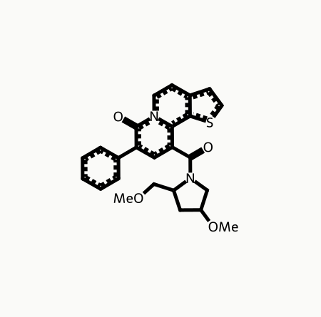 COCC1CC(OC)CN1C(=O)c1cc(-c2ccccc2)c(=O)n2ccc3ccsc3c12